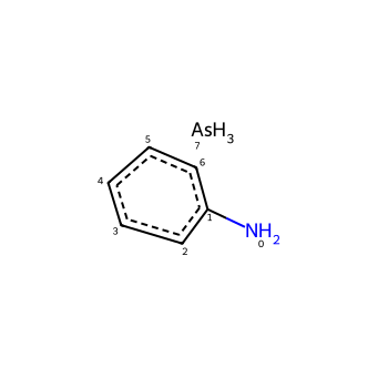 Nc1ccccc1.[AsH3]